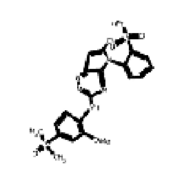 CCCS(=O)(=O)c1ccccc1-n1c(C)cc2nnc(Nc3ccc(P(C)(C)=O)cc3OC)nc21